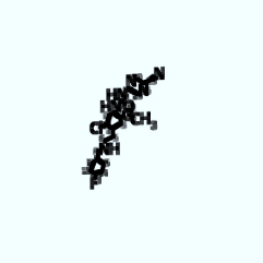 COc1cc(CCNCc2ccc(F)cc2)c(Cl)cc1NC(=O)Nc1cnc(C#N)cn1